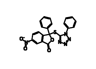 O=C1OC(Sc2nnnn2-c2ccccc2)(c2ccccc2)c2ccc([N+](=O)[O-])cc21